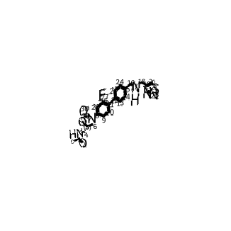 CC(=O)NC[C@H]1CN(c2ccc(-c3ccc(CNCc4csnn4)cc3)c(F)c2)C(=O)O1